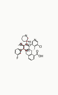 COc1ccc([C@H](Cc2c(Cl)cncc2Cl)c2c(CNC(C(=O)O[C@H]3CN4CCC3CC4)c3cccc(F)c3)cccc2C(=O)O)cc1OC